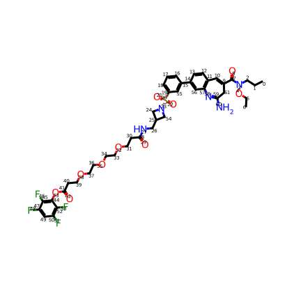 CCCN(OCC)C(=O)C1=Cc2ccc(-c3cccc(S(=O)(=O)N4CC(CNC(=O)CCOCCOCCOCCC(=O)Oc5c(F)c(F)cc(F)c5F)C4)c3)cc2N=C(N)C1